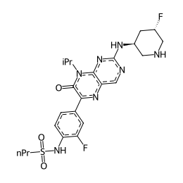 CCCS(=O)(=O)Nc1ccc(-c2nc3cnc(N[C@@H]4CNC[C@@H](F)C4)nc3n(C(C)C)c2=O)cc1F